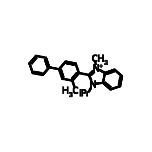 Cc1cc(-c2ccccc2)ccc1-c1n(C(C)C)c2ccccc2[n+]1C